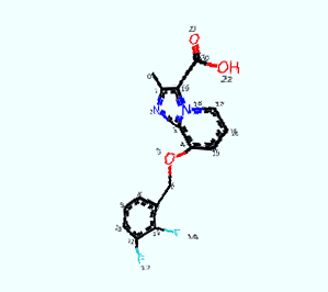 Cc1nc2c(OCc3cccc(F)c3F)cccn2c1C(=O)O